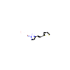 OCn1ccc(/C=C/c2cccs2)n1